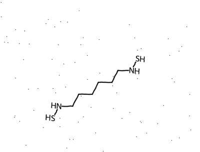 SNCCCCCCNS